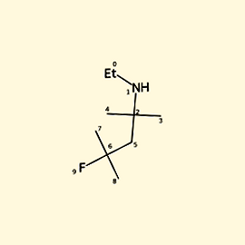 CCNC(C)(C)CC(C)(C)F